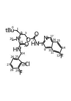 [CH2]C(C)(C)C[C@@H](COC(=O)Nc1cc2cc(F)ccc2cn1)N(C)C(=O)NCc1cccc(F)c1Cl